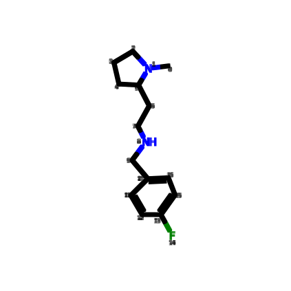 CN1CCCC1CCNCc1ccc(F)cc1